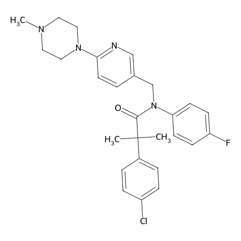 CN1CCN(c2ccc(CN(C(=O)C(C)(C)c3ccc(Cl)cc3)c3ccc(F)cc3)cn2)CC1